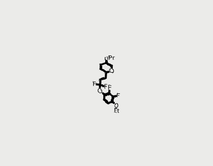 CCCC1=COC(CCC(F)(F)Oc2ccc(OCC)c(F)c2F)CC1